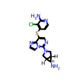 Nc1nccc(Sc2cnc(N3C[C@@H]4[C@H](N)[C@@H]4C3)n3ccnc23)c1Cl